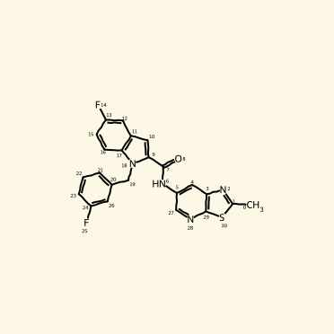 Cc1nc2cc(NC(=O)c3cc4cc(F)ccc4n3Cc3cccc(F)c3)cnc2s1